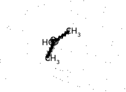 CCCCCCCCCOP(=O)(O)CCCCCCCCC